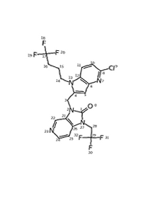 O=c1n(Cc2cc3nc(Cl)ccc3n2CCCC(F)(F)F)c2cnccc2n1CC(F)(F)F